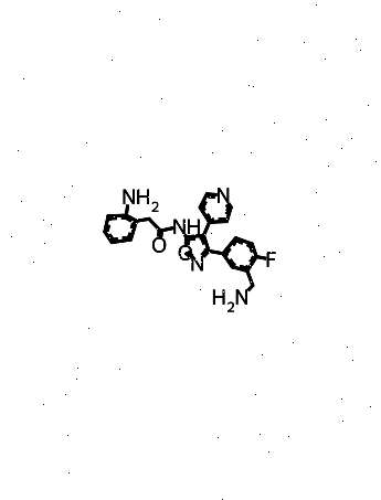 NCc1cc(-c2noc(NC(=O)Cc3ccccc3N)c2-c2ccncc2)ccc1F